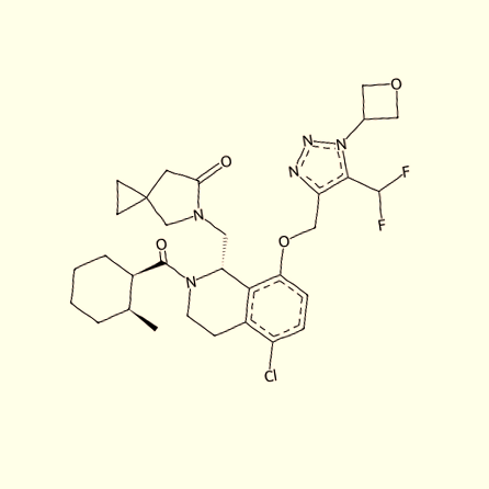 C[C@H]1CCCC[C@H]1C(=O)N1CCc2c(Cl)ccc(OCc3nnn(C4COC4)c3C(F)F)c2[C@H]1CN1CC2(CC2)CC1=O